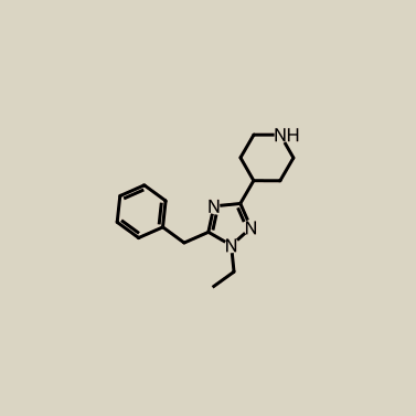 CCn1nc(C2CCNCC2)nc1Cc1ccccc1